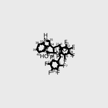 CC(=O)N(Cc1c(F)c(F)c(F)c(F)c1F)[C@@](C)(C(=O)O)C(Cc1c(F)c(F)c(F)c(F)c1F)c1c[nH]c2ccccc12